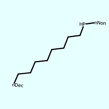 CCCCCCCCCCCCCCCCCCPCCCCCCCCC